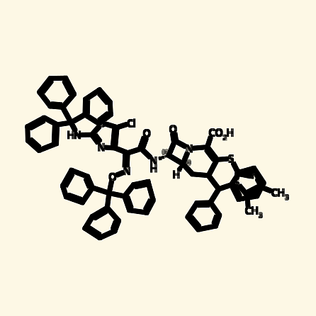 Cc1nc(SC2=C(C(=O)O)N3C(=O)[C@@H](NC(=O)C(=NOC(c4ccccc4)(c4ccccc4)c4ccccc4)c4nc(NC(c5ccccc5)(c5ccccc5)c5ccccc5)sc4Cl)[C@H]3CC2C(c2ccccc2)c2ccccc2)sc1C